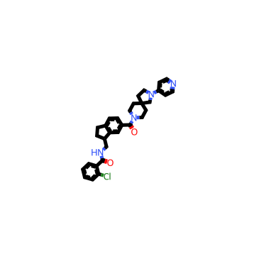 O=C(NCC1CCc2ccc(C(=O)N3CCC4(CC3)CCN(c3ccncc3)C4)cc21)c1ccccc1Cl